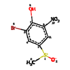 C[S+]([O-])c1cc(Br)c(O)c([N+](=O)[O-])c1